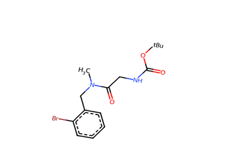 CN(Cc1ccccc1Br)C(=O)CNC(=O)OC(C)(C)C